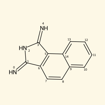 N=C1NC(=N)c2c1ccc1ccccc21